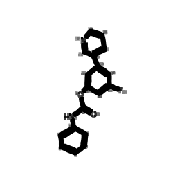 O=C(Nc1ccccc1)Oc1cc(F)cc(-c2cccnc2)c1